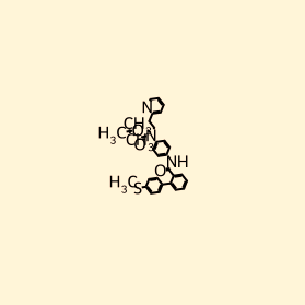 CSc1ccc(-c2ccccc2C(=O)Nc2ccc(N(CCc3ccccn3)C(=O)OC(C)(C)C)cc2)cc1